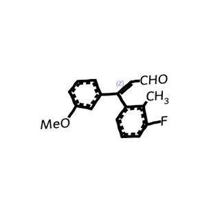 COc1cccc(/C(=C/C=O)c2cccc(F)c2C)c1